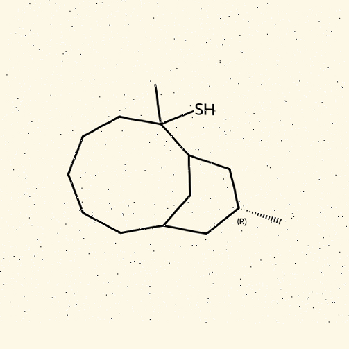 C[C@@H]1CC2CCCCCC(C)(S)C(C2)C1